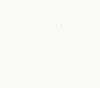 C=CCNC1=C(CCCCC)C(=O)CC(C)(C)C1